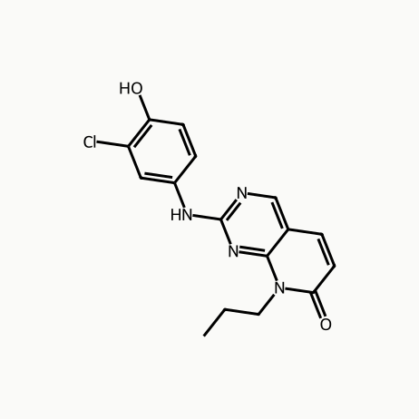 CCCn1c(=O)ccc2cnc(Nc3ccc(O)c(Cl)c3)nc21